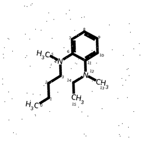 CCCCN(C)c1ccccc1N(C)CC